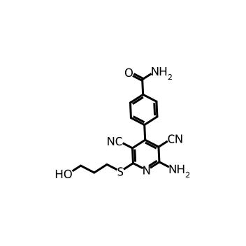 N#Cc1c(N)nc(SCCCO)c(C#N)c1-c1ccc(C(N)=O)cc1